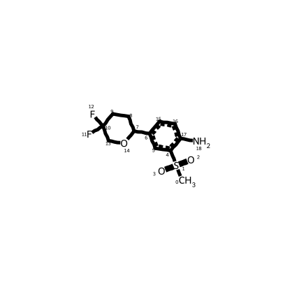 CS(=O)(=O)c1cc(C2CCC(F)(F)CO2)ccc1N